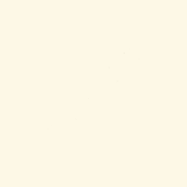 [c]1ccc(-c2ccc(-c3ccc(-c4ccc(-c5ccccc5)cc4)cc3)cc2)cc1